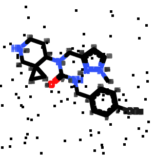 CC(C)COc1ccc(CNC(=O)N(Cc2ccn(C)n2)C2CCNCC23CC3)cc1